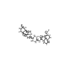 COc1ccc2nccc([C@@H](O)CN3CCC(NCC(=O)Nc4cc(F)ccc4Cl)CC3)c2c1